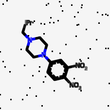 C[C](C)CN1CCN(c2ccc([N+](=O)[O-])c([N+](=O)[O-])c2)CC1